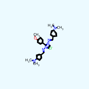 COc1ccc(-c2n(/N=C/c3ccc(N(C)C)cc3)cc[n+]2/N=C/c2ccc(N(C)C)cc2)cc1.[Cl-]